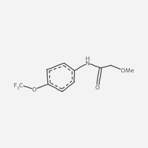 [CH2]OCC(=O)Nc1ccc(OC(F)(F)F)cc1